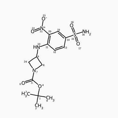 CC(C)(C)OC(=O)N1CC(Nc2ccc(S(N)(=O)=O)cc2[N+](=O)[O-])C1